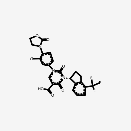 O=C(O)c1cn(-c2ccc(N3CCOC3=O)c(Cl)c2)c(=O)n([C@@H]2CCc3c2cccc3C(F)(F)F)c1=O